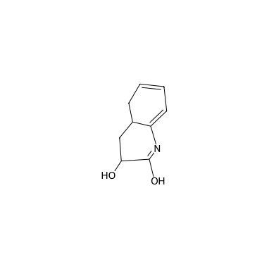 OC1=NC2=CC=CCC2CC1O